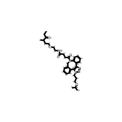 CCC(=O)C(C)CCOCCNC(=O)CCC(=O)N1Cc2ccccc2-c2c(nnn2CCCOC(C)C)-c2ccccc21